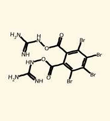 N=C(N)NOC(=O)c1c(Br)c(Br)c(Br)c(Br)c1C(=O)ONC(=N)N